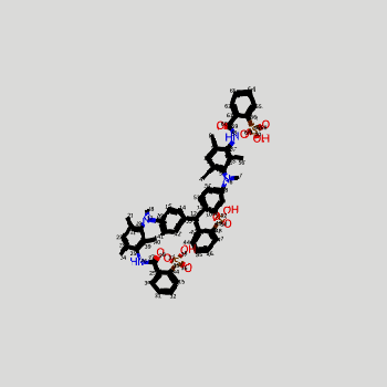 Cc1cc(C)c(N(C)c2ccc(C(c3ccc(N(C)c4c(C)cc(C)c(NC(=O)c5ccccc5S(=O)(=O)O)c4C)cc3)c3ccccc3S(=O)(=O)O)cc2)c(C)c1NC(=O)c1ccccc1S(=O)(=O)O